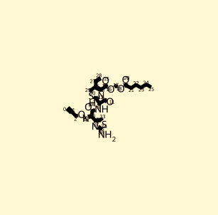 C#CCO/N=C(\C(=O)NC1C(=O)N2C(C(=O)OCOC(=O)CCCCC)=C(C=C)CS[C@H]12)c1csc(N)n1